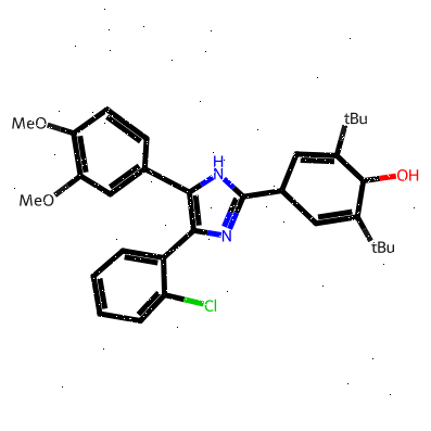 COc1ccc(-c2[nH]c(C3C=C(C(C)(C)C)C(O)C(C(C)(C)C)=C3)nc2-c2ccccc2Cl)cc1OC